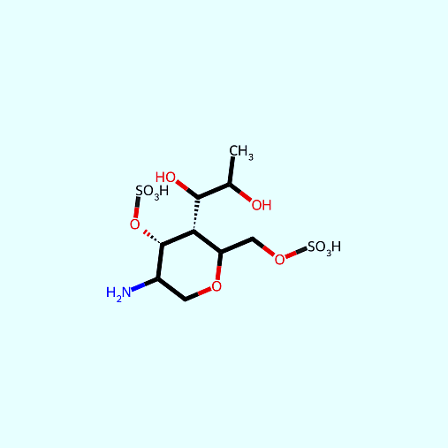 CC(O)C(O)[C@@H]1C(COS(=O)(=O)O)OCC(N)[C@@H]1OS(=O)(=O)O